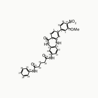 COc1cc(-c2ccc3c(c2)Nc2ccc(NC(=O)CCCC(=O)Nc4ccccc4)cc2NC3=O)ccc1[N+](=O)[O-]